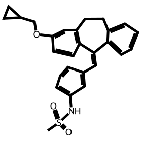 CS(=O)(=O)Nc1cccc(C=C2c3ccccc3CCc3cc(OCC4CC4)ccc32)c1